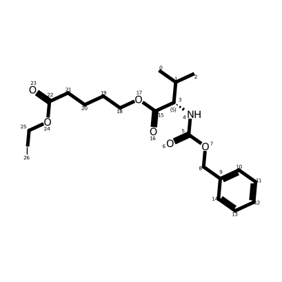 CC(C)[C@H](NC(=O)OCc1ccccc1)C(=O)OCCCCC(=O)OCI